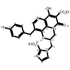 CCOC(=O)c1c(O)c2ncc(Cc3ccc(F)cc3)c3c2n(c1=O)C[C@@H](Cn1ccnc1C(=O)OCC)O3